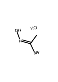 CCCC(C)=NO.Cl